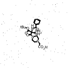 CC(C)(C)OC(=O)C(NC(=O)c1ccccc1)(C(=N)N)C(=O)N1CCN(CC(=O)O)CC1